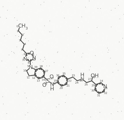 CCCCCCc1nc(N2CCc3cc(S(=O)(=O)Nc4ccc(CCNCC(O)c5cccnc5)cc4)ccc32)no1